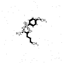 CCCCC(=O)N(C)OS(=O)(=O)c1ccc(OC)cc1